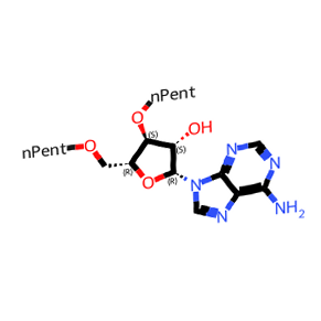 CCCCCOC[C@H]1O[C@@H](n2cnc3c(N)ncnc32)[C@@H](O)[C@@H]1OCCCCC